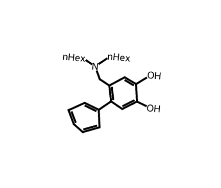 CCCCCCN(CCCCCC)Cc1cc(O)c(O)cc1-c1ccccc1